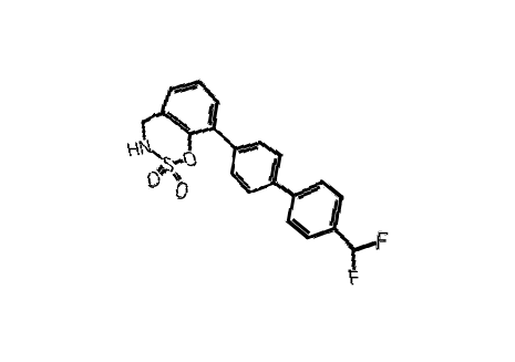 O=S1(=O)NCc2cccc(-c3ccc(-c4ccc(C(F)F)cc4)cc3)c2O1